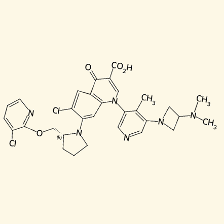 Cc1c(N2CC(N(C)C)C2)cncc1-n1cc(C(=O)O)c(=O)c2cc(Cl)c(N3CCC[C@@H]3COc3ncccc3Cl)cc21